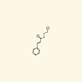 O=C(C=Cc1ccccc1)CCCCl